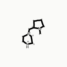 [CH2]N1CCCC1CN1CCNCC1